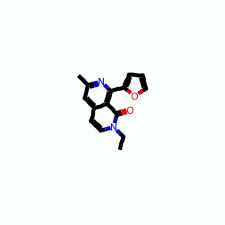 CCn1ccc2cc(C)nc(-c3ccco3)c2c1=O